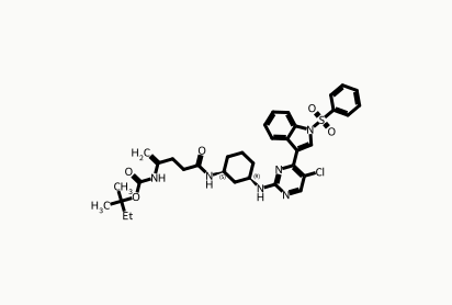 C=C(CCC(=O)N[C@H]1CCC[C@@H](Nc2ncc(Cl)c(-c3cn(S(=O)(=O)c4ccccc4)c4ccccc34)n2)C1)NC(=O)OC(C)(C)CC